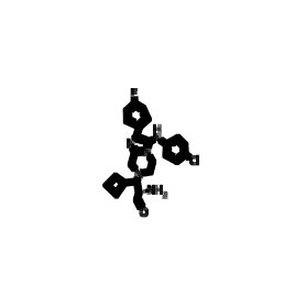 N[C@H](C=O)C(C1CCC1)N1CCn2c(nc(-c3ccc(F)cc3)c2Nc2ccc(Cl)cc2)C1